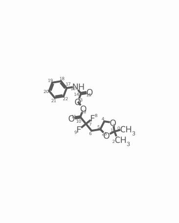 CC1(C)OCC(CC(F)(F)C(=O)OOC(=O)Nc2ccccc2)O1